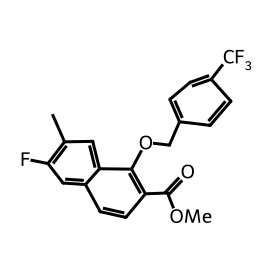 COC(=O)c1ccc2cc(F)c(C)cc2c1OCc1ccc(C(F)(F)F)cc1